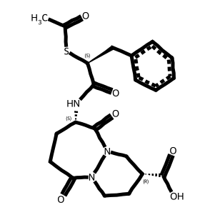 CC(=O)S[C@@H](Cc1ccccc1)C(=O)N[C@H]1CCC(=O)N2CC[C@@H](C(=O)O)CN2C1=O